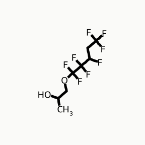 CC(O)COC(F)(F)C(F)(F)C(F)CC(F)(F)F